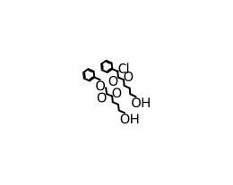 O=C(CCCCO)C(=O)C(Cl)c1ccccc1.O=C(CCCCO)C(=O)COCc1ccccc1